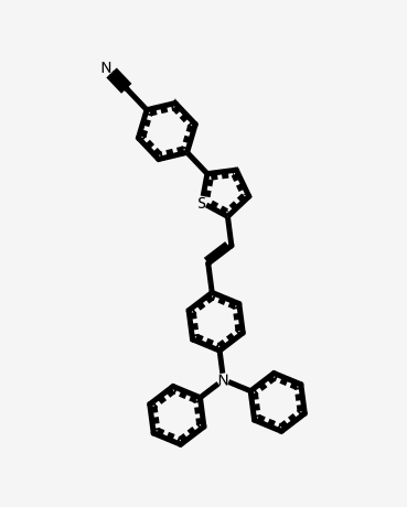 N#Cc1[c]cc(-c2ccc(C=Cc3ccc(N(c4ccccc4)c4ccccc4)cc3)s2)cc1